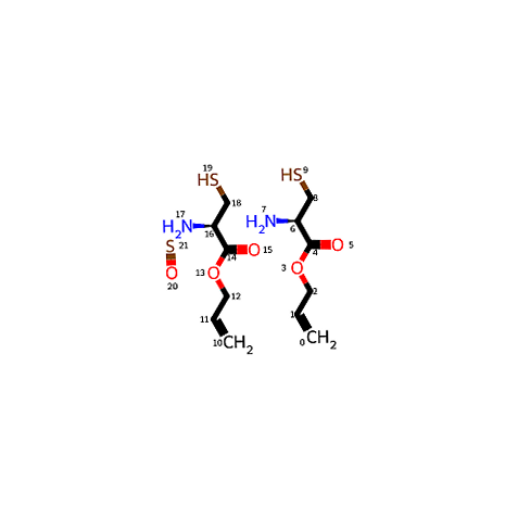 C=CCOC(=O)[C@@H](N)CS.C=CCOC(=O)[C@@H](N)CS.O=S